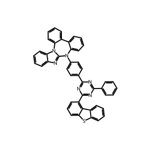 c1ccc(-c2nc(-c3ccc(N4c5ccccc5-c5ccccc5-n5c4nc4ccccc45)cc3)nc(-c3cccc4sc5ccccc5c34)n2)cc1